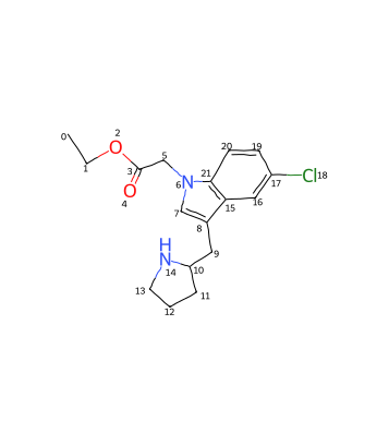 CCOC(=O)Cn1cc(CC2CCCN2)c2cc(Cl)ccc21